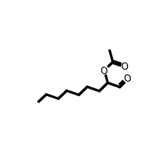 CCCCCCCC(C=O)OC(C)=O